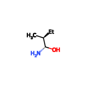 CC[C@H](C)[C@@H](N)O